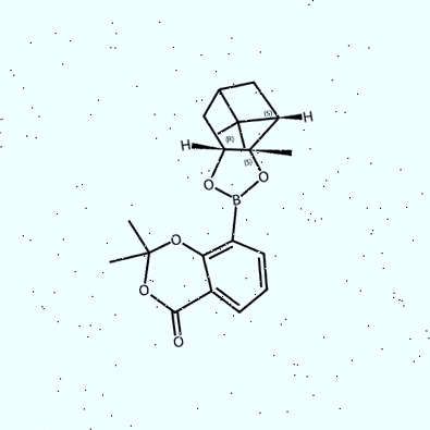 CC1(C)OC(=O)c2cccc(B3O[C@@H]4CC5C[C@@H](C5(C)C)[C@]4(C)O3)c2O1